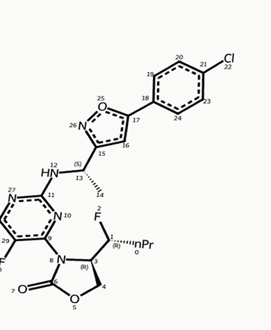 CCC[C@@H](F)[C@H]1COC(=O)N1c1nc(N[C@@H](C)c2cc(-c3ccc(Cl)cc3)on2)ncc1F